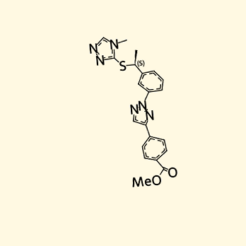 COC(=O)c1ccc(-c2cnn(-c3cccc([C@H](C)Sc4nncn4C)c3)n2)cc1